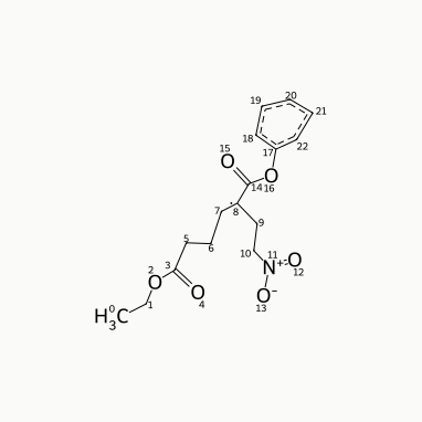 CCOC(=O)CCC[C](CC[N+](=O)[O-])C(=O)Oc1ccccc1